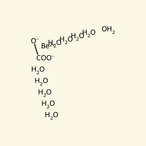 O.O.O.O.O.O.O.O.O.O.O=C([O-])[O-].[Be+2]